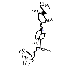 CCC(O)(/C=C/C=C/[C@@H](C)C1CCC2/C(=C/C=C3C[C@@H](O)C(=CCO)[C@H](O)C3)CCCC21C)CC